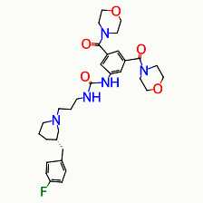 O=C(NCCCN1CCC[C@@H](Cc2ccc(F)cc2)C1)Nc1cc(C(=O)N2CCOCC2)cc(C(=O)N2CCOCC2)c1